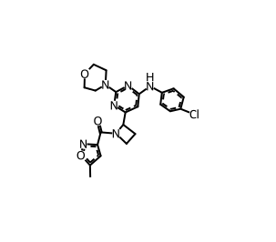 Cc1cc(C(=O)N2CCC2c2cc(Nc3ccc(Cl)cc3)nc(N3CCOCC3)n2)no1